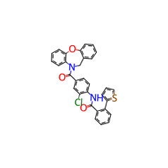 O=C(Nc1ccc(C(=O)N2Cc3ccccc3Oc3ccccc32)cc1Cl)c1ccccc1-c1cccs1